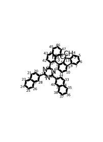 CC1(C)c2ccccc2-c2cccc(-c3c(-c4nc(-c5ccc6ccccc6c5)nc(-c5ccc6ccccc6c5)n4)ccc4ccccc34)c21